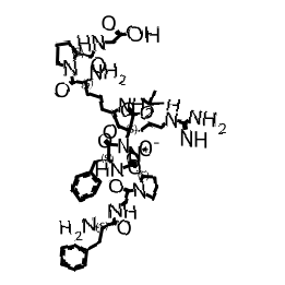 CC(C)(C)OC(=O)[C@](CCCNC(=N)N)(C(=O)C(N)CCC[C@H](N)C(=O)N1CCC[C@H]1C(=O)NCC(=O)O)N(C(=O)[C@H](Cc1ccccc1)NC(=O)[C@@H]1CCCN1C(=O)CNC(=O)[C@@H](N)Cc1ccccc1)[N+](=O)[O-]